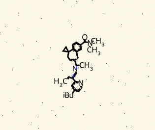 C=C/C(=C\N=C(/C)C1=CCC2(CC2)c2ccc(C(=O)N(C)C)cc2C1)c1cc(C(C)CC)ccn1